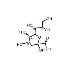 C[C@H]1C([C@H](O)[C@H](O)CO)OC(O)(C(=O)O)C[C@H]1O